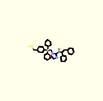 SCc1ccc([Si](Cn2ccnc2BC(=Cc2ccccc2)c2ccccc2)(c2ccccc2)c2ccccc2)cc1